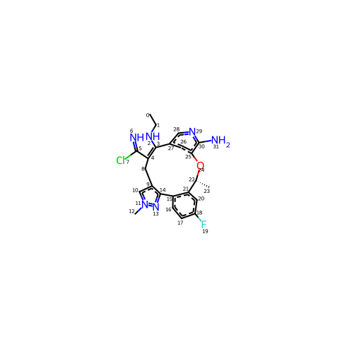 CCN/C1=C(\C(=N)Cl)Cc2cn(C)nc2-c2ccc(F)cc2[C@@H](C)Oc2cc1cnc2N